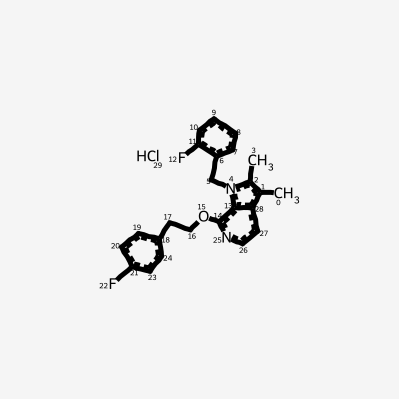 Cc1c(C)n(Cc2ccccc2F)c2c(OCCc3ccc(F)cc3)nccc12.Cl